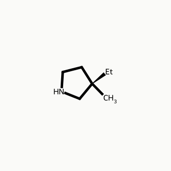 CC[C@]1(C)CCNC1